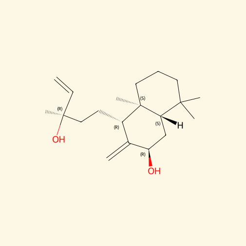 C=C[C@](C)(O)CC[C@H]1C(=C)[C@H](O)C[C@H]2C(C)(C)CCC[C@]12C